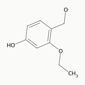 CCOc1cc(O)ccc1C[O]